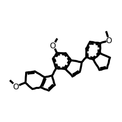 COc1cc(C2C=CC3=C2C=CC(OC)C3)c2c(c1)C(c1ccc(OC)c3c1C=CC3)C=C2